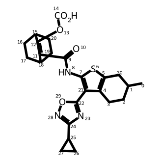 CC1CCc2c(sc(NC(=O)C3=C(OC(=O)O)C4CCC3CC4)c2-c2nc(C3CC3)no2)C1